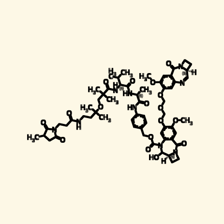 COc1cc2c(cc1OCOCOc1cc3c(cc1OC)C(=O)N1CC[C@H]1C(O)N3C(=O)OCc1ccc(NC(=O)[C@H](C)NC(=O)[C@@H](NC(=O)C(C)(C)COC(C)(C)CCNC(=O)CCN3C(=O)CC(C)C3=O)C(C)C)cc1)N=C[C@@H]1CCN1C2=O